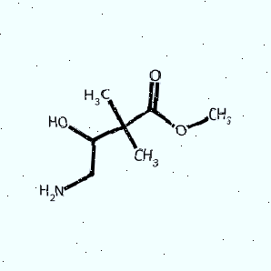 COC(=O)C(C)(C)C(O)CN